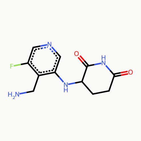 NCc1c(F)cncc1NC1CCC(=O)NC1=O